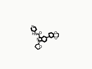 O=C(Nc1ccncc1)c1nn(C2CCCCO2)c2ccc(-c3ccc4c(c3)OCCO4)cc12